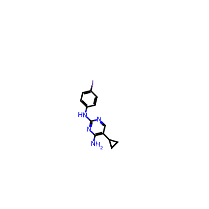 Nc1nc(Nc2ccc(I)cc2)ncc1C1CC1